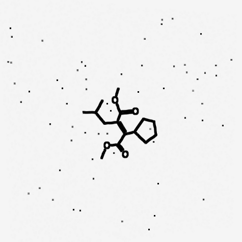 COC(=O)C(CC(C)C)=C(C(=O)OC)C1CCCC1